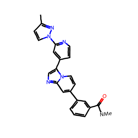 CNC(=O)c1cccc(-c2ccn3c(-c4ccnc(-n5ccc(C)n5)c4)cnc3c2)c1